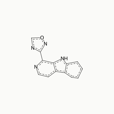 c1ccc2c(c1)[nH]c1c(-c3ncon3)nccc12